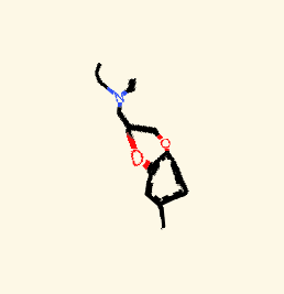 CCN(CC)CC1COc2ccc(C)cc2O1